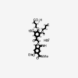 Br.CCOc1cc2c(cc1C(=O)NC)C(=N)N(CC(=O)c1cc(N(C)CCCF)c(OCCCC(=O)O)c(C(C)(C)C)c1)C2